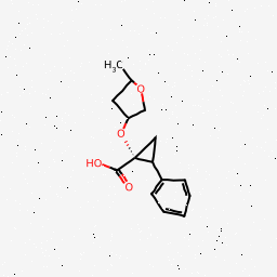 CC1CC(O[C@]2(C(=O)O)CC2c2ccccc2)CO1